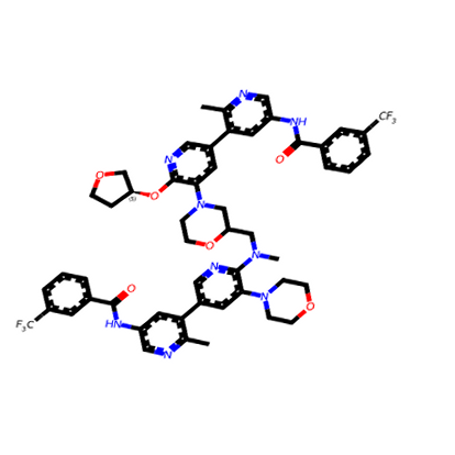 Cc1ncc(NC(=O)c2cccc(C(F)(F)F)c2)cc1-c1cnc(O[C@H]2CCOC2)c(N2CCOC(CN(C)c3ncc(-c4cc(NC(=O)c5cccc(C(F)(F)F)c5)cnc4C)cc3N3CCOCC3)C2)c1